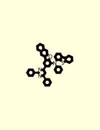 c1ccc(-c2cc(-c3cc(N(c4ccccc4)c4cccc5c4sc4ccccc45)c4oc5cc6ccccc6cc5c4c3)nc(-c3ccccc3)n2)cc1